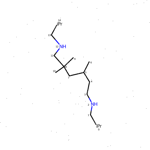 CC(C)CNCCC(C)CC(C)(C)CNCC(C)C